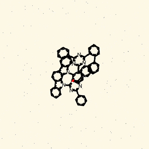 c1ccc(-c2nc(-c3ccccc3-c3ccccc3)nc(-c3ccccc3-n3c4ccccc4c4ccc5c6ccccc6n(-c6nc(-c7ccccc7)nc(-c7ccccc7)n6)c5c43)n2)cc1